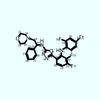 CCc1ccc(Nc2c(-c3nnc(NC(CN4CCOCC4)c4ccccc4)o3)ccc(F)c2F)c(F)c1